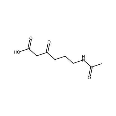 CC(=O)NCCCC(=O)CC(=O)O